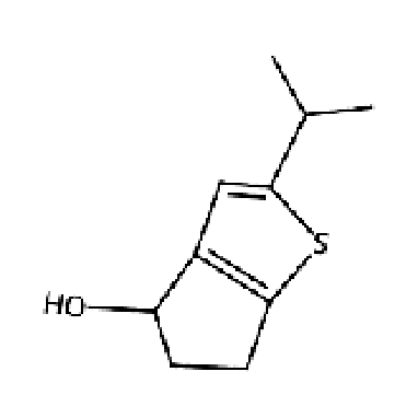 CC(C)c1cc2c(s1)CCC2O